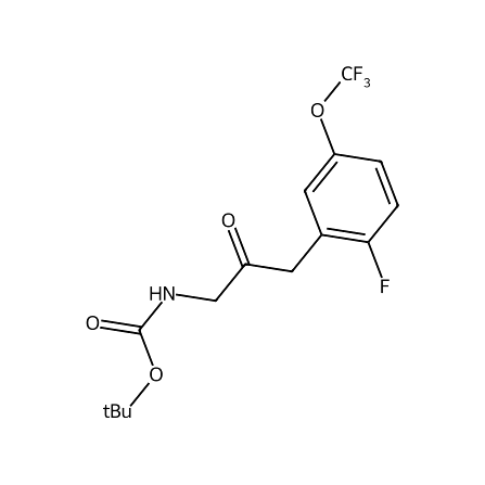 CC(C)(C)OC(=O)NCC(=O)Cc1cc(OC(F)(F)F)ccc1F